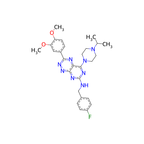 COc1ccc(-c2nnc3nc(NCc4ccc(F)cc4)nc(N4CCN(C(C)C)CC4)c3n2)cc1OC